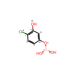 OB(O)Oc1ccc(Cl)c(O)c1